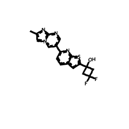 Cc1cn2cc(-c3ccc4cc(C5(O)CC(F)(F)C5)sc4n3)cnc2n1